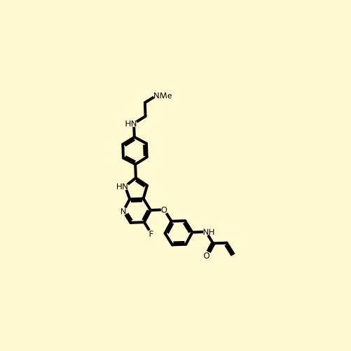 C=CC(=O)Nc1cccc(Oc2c(F)cnc3[nH]c(-c4ccc(NCCNC)cc4)cc23)c1